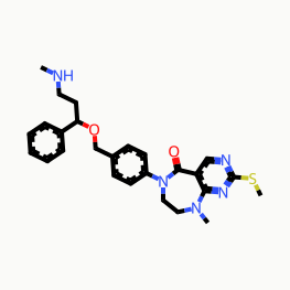 CNCCC(OCc1ccc(N2CCN(C)c3nc(SC)ncc3C2=O)cc1)c1ccccc1